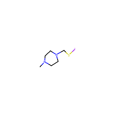 CN1CCN(CSI)CC1